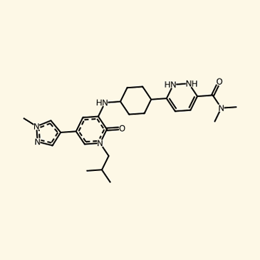 CC(C)Cn1cc(-c2cnn(C)c2)cc(NC2CCC(C3=CC=C(C(=O)N(C)C)NN3)CC2)c1=O